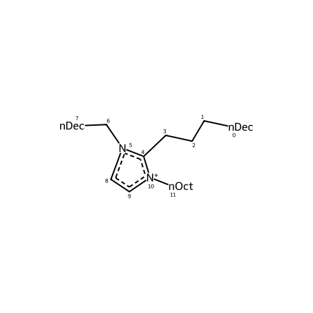 CCCCCCCCCCCCCc1n(CCCCCCCCCCC)cc[n+]1CCCCCCCC